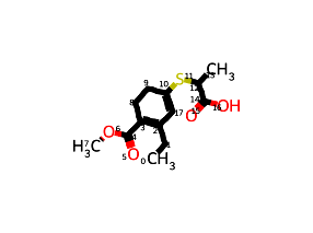 CCC1=C(C(=O)OC)CCC(SC(C)C(=O)O)=C1